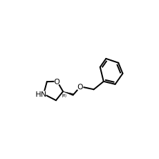 c1ccc(COC[C@H]2CNCO2)cc1